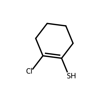 SC1=C(Cl)CCCC1